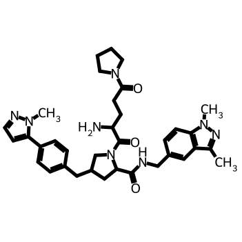 Cc1nn(C)c2ccc(CNC(=O)C3CC(Cc4ccc(-c5ccnn5C)cc4)CN3C(=O)C(N)CCC(=O)N3CCCC3)cc12